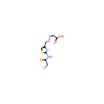 O=C(O)/C=N\OCc1csc(NC(=O)CCl)n1